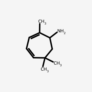 CC1=CC=CC(C)(C)CC1N